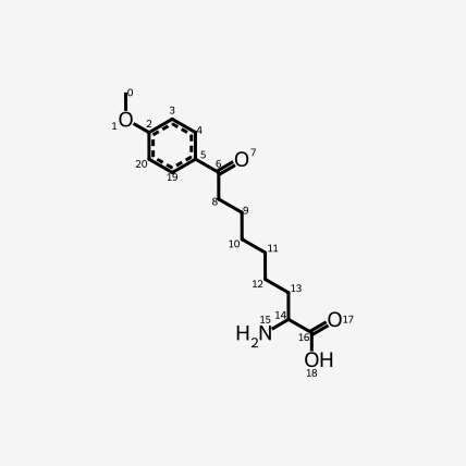 COc1ccc(C(=O)CCCCCCC(N)C(=O)O)cc1